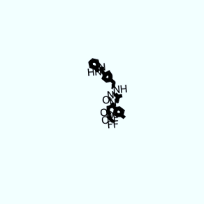 Cc1ccc(C(CC(=O)OC(=O)C(F)(F)F)n2cc(C)c(NCCc3ccc(-c4nc5ccccc5[nH]4)cc3)nc2=O)cc1